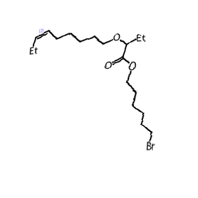 CC/C=C\CCCCCOC(CC)C(=O)OCCCCCCBr